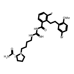 COc1ccc(Br)cc1CCc1c(F)cccc1C(=O)NC(=N)NCCCCN1CCC[C@@H]1C(N)=O